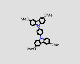 COc1ccc2c(c1)c1cc(OC)ccc1n2-c1ccc(-n2c3ccc(OC)cc3c3cc(OC)ccc32)cc1